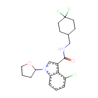 O=C(NCC1CCC(F)(F)CC1)c1cn(C2CCCO2)c2cccc(Cl)c12